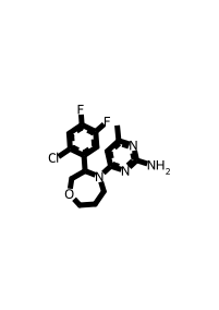 Cc1cc(N2CCCOCC2c2cc(F)c(F)cc2Cl)nc(N)n1